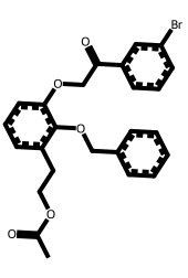 CC(=O)OCCc1cccc(OCC(=O)c2cccc(Br)c2)c1OCc1ccccc1